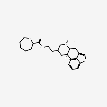 CN1CC(CCOC(=O)C2CCCCCN2)C[C@H]2c3cccc4[nH]cc(c34)C[C@@H]21